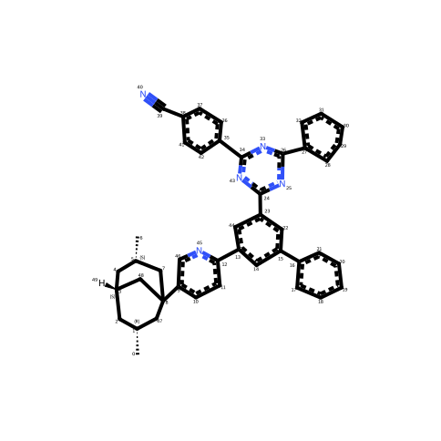 C[C@@H]1C[C@@H]2C[C@H](C)CC(c3ccc(-c4cc(-c5ccccc5)cc(-c5nc(-c6ccccc6)nc(-c6ccc(C#N)cc6)n5)c4)nc3)(C1)C2